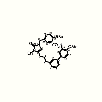 CCn1c(CCCc2cccc(-c3ccc(OC)c(C(=O)O)c3)c2)nn(Cc2ccc(C(C)(C)C)cc2)c1=O